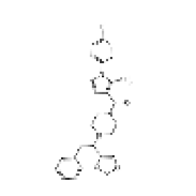 O=C(c1cnn(-c2ccc(F)cc2)c1C(F)(F)F)N1CCN(C(Cc2ccccc2)C2=COCO2)CC1